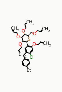 C=CCOC[C@H]1S[C@@H](c2cc(Cc3ccc(CC)cc3)c(Cl)cc2OCC=C)[C@H](OCC=C)[C@@H](OCC=C)[C@@H]1OCC=C